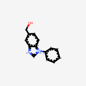 OCc1ccc2c(c1)ncn2-c1ccccc1